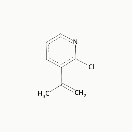 C=C(C)c1cccnc1Cl